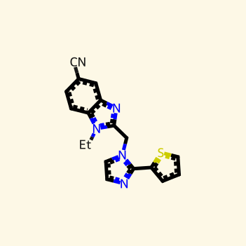 CCn1c(Cn2ccnc2-c2cccs2)nc2cc(C#N)ccc21